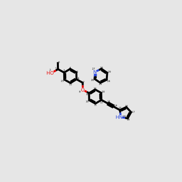 CC(O)c1ccc(COc2ccc(C#Cc3ccc[nH]3)cc2)cc1.c1ccncc1